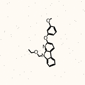 CCOCn1c2ccccc2c2ccc(Oc3cccc(OC)c3)nc21